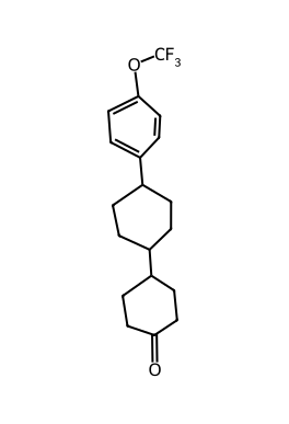 O=C1CCC(C2CCC(c3ccc(OC(F)(F)F)cc3)CC2)CC1